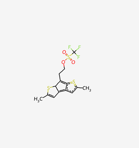 CC1=CC2=c3cc(C)sc3=C(CCOS(=O)(=O)C(F)(F)F)C2S1